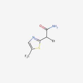 CCC(C(N)=O)c1ncc(C(F)(F)F)s1